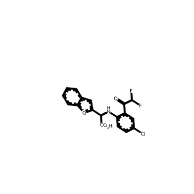 O=C(c1cc(Cl)ccc1NC(C(=O)O)c1cc2ccccc2o1)C(F)F